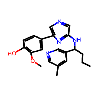 CCCC(Nc1cncc(-c2ccc(O)c(OC)c2)n1)c1cncc(C)c1